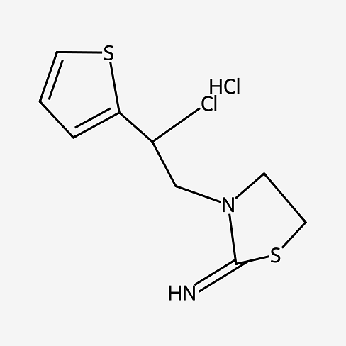 Cl.N=C1SCCN1CC(Cl)c1cccs1